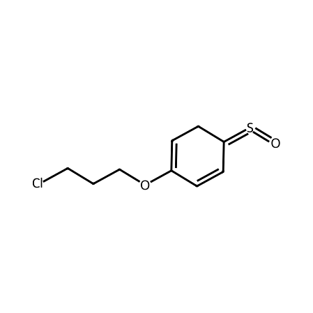 O=S=C1C=CC(OCCCCl)=CC1